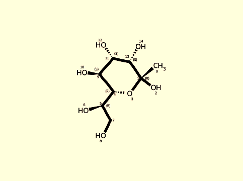 C[C@@]1(O)O[C@H]([C@H](O)CO)[C@@H](O)[C@H](O)[C@@H]1O